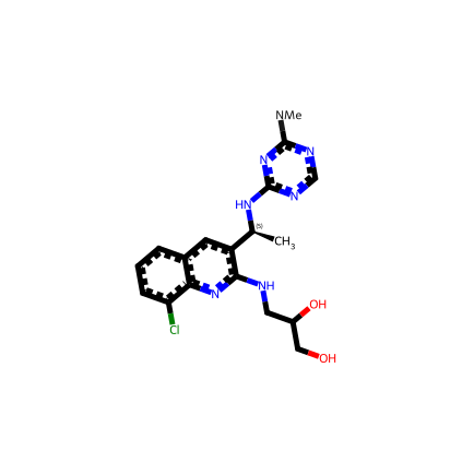 CNc1ncnc(N[C@@H](C)c2cc3cccc(Cl)c3nc2NCC(O)CO)n1